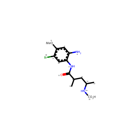 COc1cc(N)c(NC(=O)C(C)CC(C)NC(=O)O)cc1Br